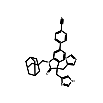 N#Cc1ccc(-c2ccc3c(c2)N(CC24CC5CC(CC(C5)C2)C4)C(=O)C3(Cc2c[nH]cn2)Cc2cnc[nH]2)cc1